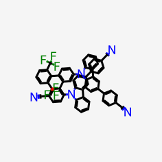 N#Cc1ccc(-c2ccc3c(c2)c2ccccc2n3-c2ccc(-c3c(C(F)(F)F)cccc3C(F)(F)F)c(-c3cc(C#N)ccc3-n3c4ccccc4c4cc(-c5ccc(C#N)cc5)ccc43)c2)cc1